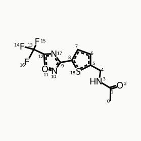 CC(=O)NCc1ccc(-c2noc(C(F)(F)F)n2)s1